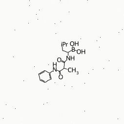 CC(C)CC(NC(=O)C(C)C(=O)Nc1ccccc1)B(O)O